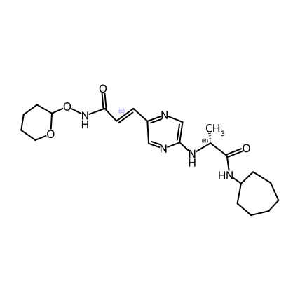 C[C@@H](Nc1cnc(/C=C/C(=O)NOC2CCCCO2)cn1)C(=O)NC1CCCCCC1